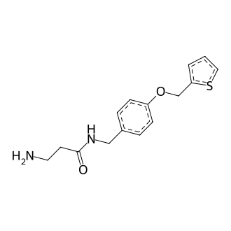 NCCC(=O)NCc1ccc(OCc2cccs2)cc1